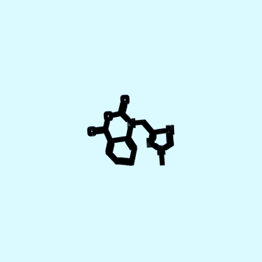 Cn1cnc(Cn2c(=O)oc(=O)c3ccccc32)n1